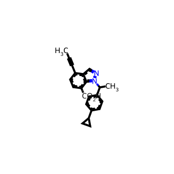 CC#Cc1ccc(C(=O)O)c2c1cnn2C(C)c1ccc(C2CC2)cc1